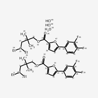 CCN(CC)CC(C)(C)COC(=O)c1ccc(-c2ccc(F)c(F)c2)o1.CCN(CC)CC(C)(C)COC(=O)c1ccc(-c2ccc(F)c(F)c2)o1.Cl.Cl.O